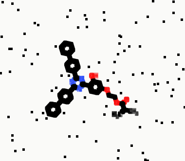 C=C(C)C(=O)OCCOc1ccc(-c2nc(-c3ccc(-c4ccccc4)cc3)nc(-c3ccc(-c4ccccc4)cc3)n2)c(O)c1